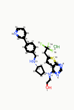 Cl.OCCN(c1ncnc2sc(CC(F)(F)F)cc12)[C@@H]1CC[C@H](NCc2ccc(-c3cccnc3)cc2)C1